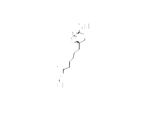 CCOC(=O)CCCCCC1=NN=C(N)SC1